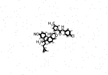 C[C@H]1C[C@@H](C(=O)Nc2cc(C(N)(CCC3CC3)c3cccc(C#N)c3)ccc2F)N(C(=O)Nc2ccc(Cl)cc2)C1